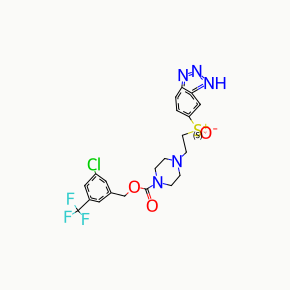 O=C(OCc1cc(Cl)cc(C(F)(F)F)c1)N1CCN(CC[S@@+]([O-])c2ccc3nn[nH]c3c2)CC1